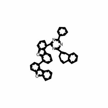 C1=Cc2ccccc2C=C(c2nc(-c3ccccc3)nc(-c3cccc4oc5c(-c6cccc7oc8ccccc8c67)cccc5c34)n2)C1